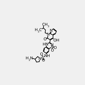 CC(C)CCn1c(=O)c(C2=NS(=O)(=O)c3cc(NS(=O)(=O)N4CCC(N)C4)ccc3N2)c(O)c2cccnc21